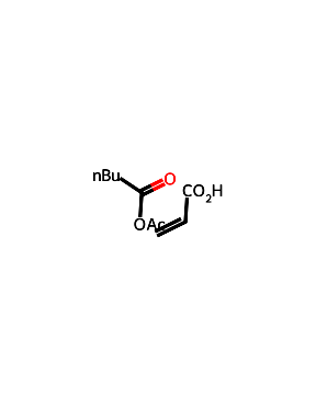 C=CC(=O)O.CCCCC(=O)OC(C)=O